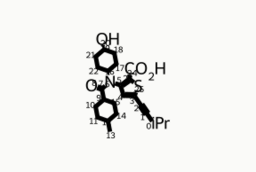 CC(C)C#Cc1cc(N(C(=O)C2CCC(C)CC2)[C@H]2CC[C@H](O)CC2)c(C(=O)O)s1